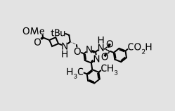 COC(=O)C1CC(N[C@@H](COc2cc(-c3c(C)cccc3C)nc(NS(=O)(=O)c3cccc(C(=O)O)c3)n2)CC(C)(C)C)C1